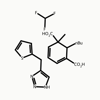 CCCCC1C(C(=O)O)=CC=CC1(C)C(=O)O.FC(F)F.c1csc(Cc2c[nH]nn2)c1